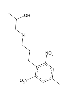 Cc1cc([N+](=O)[O-])c(CCCNCC(C)O)c([N+](=O)[O-])c1